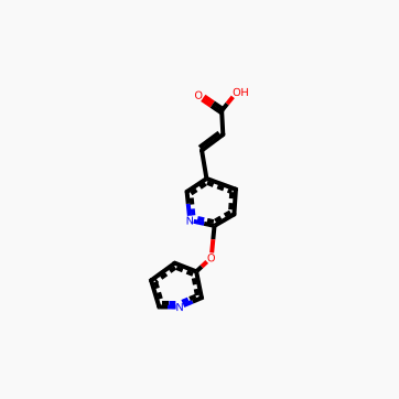 O=C(O)C=Cc1ccc(Oc2cccnc2)nc1